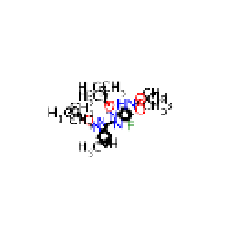 CC(C)(C)OC(=O)Nc1cc(F)c2nc(-c3nn(COCC[Si](C)(C)C)c4c3C[C@@H]3C[C@]3(C)C4)n(COCC[Si](C)(C)C)c2c1